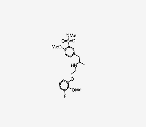 CNS(=O)(=O)c1cc(CC(C)NCCOc2cccc(F)c2OC)ccc1OC